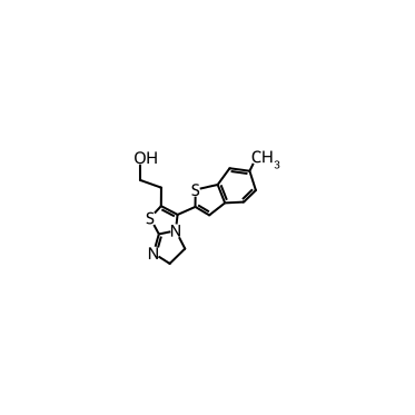 Cc1ccc2cc(C3=C(CCO)SC4=NCCN43)sc2c1